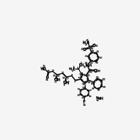 CC(C)n1c(CC[C@@H](O)C[C@@H](O)CC(=O)O)c(-c2ccc(F)cc2)c(-c2ccccc2)c1C(=O)Nc1cccc(S(N)(=O)=O)c1.[NaH]